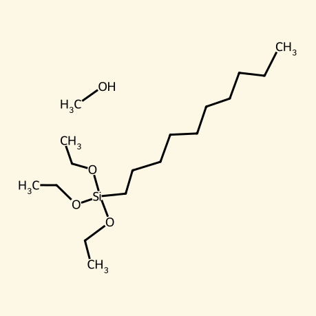 CCCCCCCCCC[Si](OCC)(OCC)OCC.CO